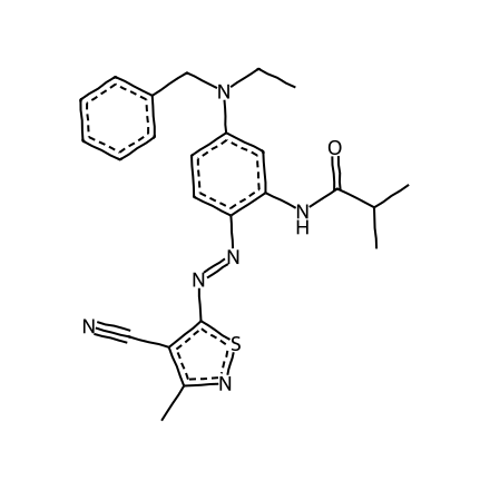 CCN(Cc1ccccc1)c1ccc(N=Nc2snc(C)c2C#N)c(NC(=O)C(C)C)c1